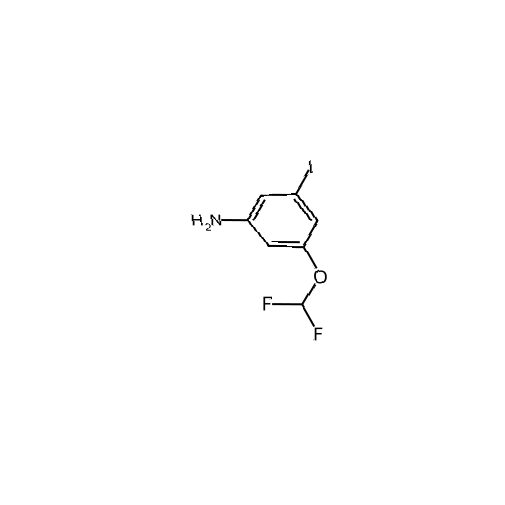 Nc1cc(I)cc(OC(F)F)c1